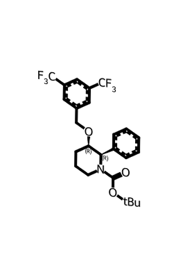 CC(C)(C)OC(=O)N1CCC[C@@H](OCc2cc(C(F)(F)F)cc(C(F)(F)F)c2)[C@H]1c1ccccc1